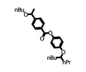 CCCCOC(C)c1ccc(C(=O)Oc2ccc(OC(CCC)CCCC)cc2)cc1